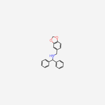 c1ccc(C(NCc2ccc3c(c2)OCO3)c2ccccc2)cc1